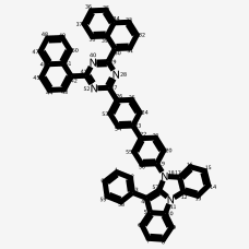 c1ccc(-c2c3ccccc3n3c4ccccc4n(-c4ccc(-c5ccc(-c6nc(-c7cccc8ccccc78)nc(-c7cccc8ccccc78)n6)cc5)cc4)c23)cc1